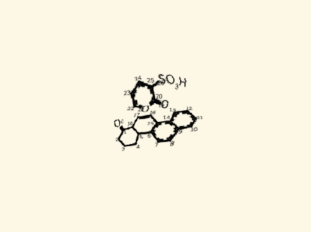 O=C1CCCC2c3ccc4ccccc4c3C=CC12.O=c1occcc1S(=O)(=O)O